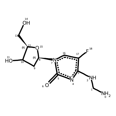 NCNc1nc(=O)n([C@H]2CC(O)[C@@H](CO)O2)cc1F